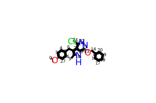 COc1ccc(Cc2c(C)[nH]c3c(OCc4ccccc4)nnc(Cl)c23)cc1